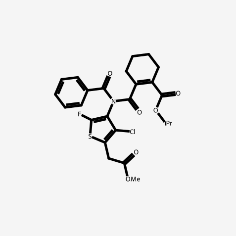 COC(=O)Cc1sc(F)c(N(C(=O)C2=C(C(=O)OC(C)C)CCCC2)C(=O)c2ccccc2)c1Cl